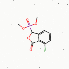 COP(=O)(OC)C1OC(=O)c2c(F)cccc21